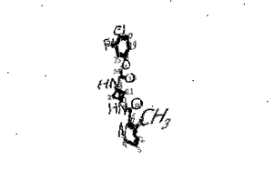 Cc1cccnc1C(=O)NC12CC(NC(=O)COc3ccc(Cl)c(F)c3)(C1)C2